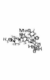 COc1ccc2c(c1)CCN(C[C@@]1(C#Cc3ccc(C(=N)N4CCCN(C)CC4)cc3)NC(=O)NC1=O)C2=O